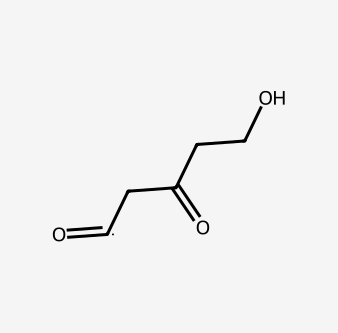 O=[C]CC(=O)CCO